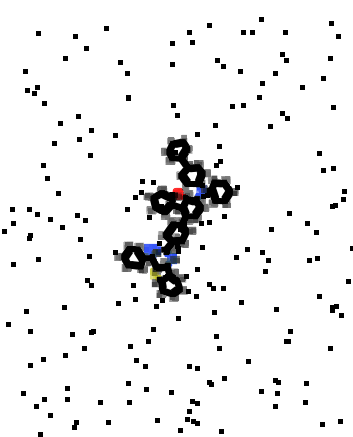 c1ccc(-c2ccc(N(c3ccccc3)c3ccc(-c4ccc(C5=Nc6c(sc7ccccc67)C(c6ccccc6)N5)cc4)c4c3oc3ccccc34)cc2)cc1